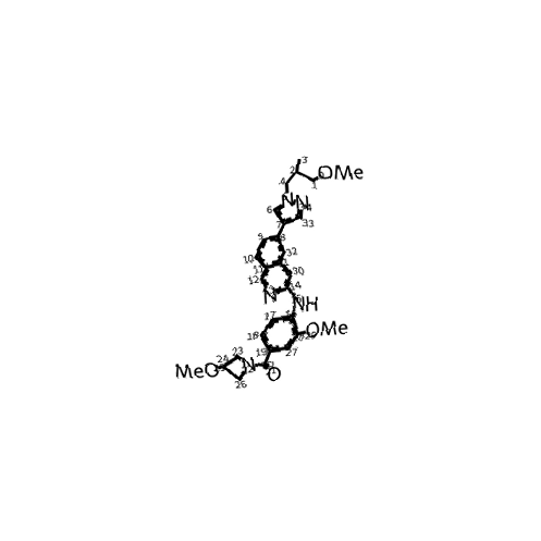 COCC(C)Cn1cc(-c2ccc3cnc(Nc4ccc(C(=O)N5CC(OC)C5)cc4OC)cc3c2)cn1